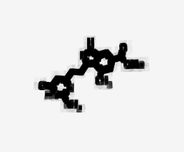 COC(=O)c1cc(C)c2c(CCc3cc(=O)[nH]c(N)n3)n[nH]c2c1